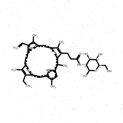 C=Cc1c(C)c2cc3nc(c(C)c4cc(C)c(cc5nc(cc1[nH]2)C(C)=C5CC)[nH]4)C(CCC(=O)N[C@H]1C(O)O[C@H](CO)[C@H](O)[C@@H]1O)=C3C